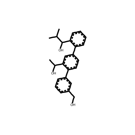 CC(O)c1cc(-c2cc[c]cc2C(O)C(C)C)ccc1-c1cccc(CO)c1